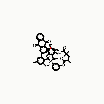 Cc1cc(C)c(C(=O)P(=O)(C(=O)c2c(C)cc(C)cc2C)c2cccc(OC(=O)C(C)CC(C)(C)C(=O)OCCNc3cccc4c3C(=O)c3ccccc3C4=O)c2)c(C)c1